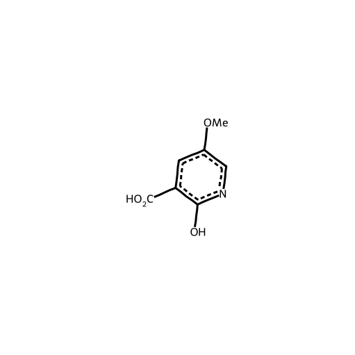 COc1cnc(O)c(C(=O)O)c1